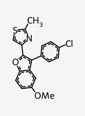 COc1ccc2oc(-c3csc(C)n3)c(-c3ccc(Cl)cc3)c2c1